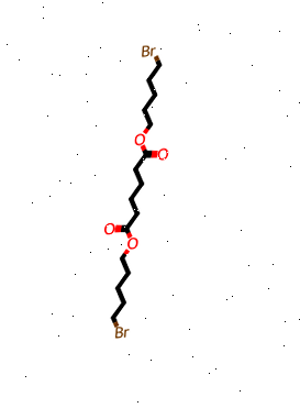 O=C(CCCCC(=O)OCCCCCBr)OCCCCCBr